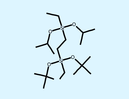 CC[Si](CC[Si](CC)(OC(C)(C)C)OC(C)(C)C)(OC(C)C)OC(C)C